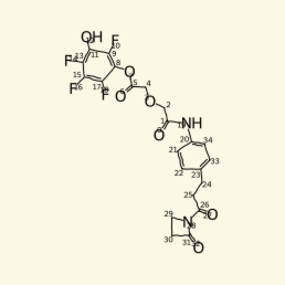 O=C(COCC(=O)Oc1c(F)c(O)c(F)c(F)c1F)Nc1ccc(CCC(=O)N2CCC2=O)cc1